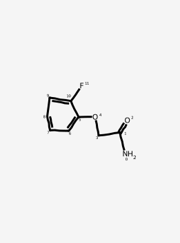 NC(=O)COc1ccccc1F